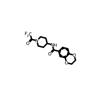 O=C(NC1CCN(C(=O)C(F)(F)F)CC1)c1ccc2c(c1)OCCO2